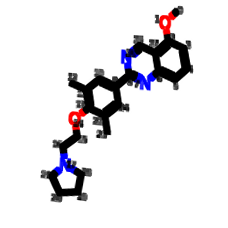 COc1cccc2nc(-c3cc(C)c(OCCN4CCCC4)c(C)c3)ncc12